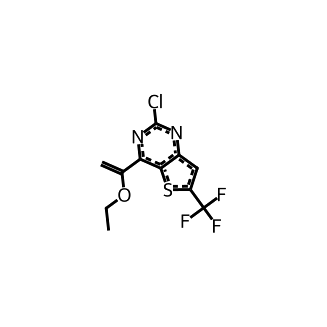 C=C(OCC)c1nc(Cl)nc2cc(C(F)(F)F)sc12